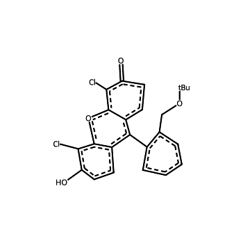 CC(C)(C)OCc1ccccc1-c1c2ccc(=O)c(Cl)c-2oc2c(Cl)c(O)ccc12